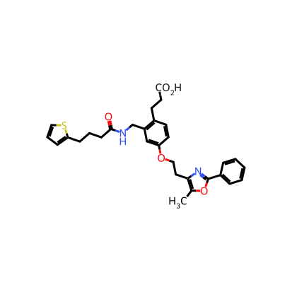 Cc1oc(-c2ccccc2)nc1CCOc1ccc(CCC(=O)O)c(CNC(=O)CCCc2cccs2)c1